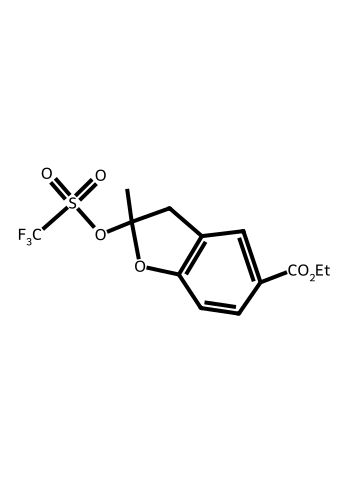 CCOC(=O)c1ccc2c(c1)CC(C)(OS(=O)(=O)C(F)(F)F)O2